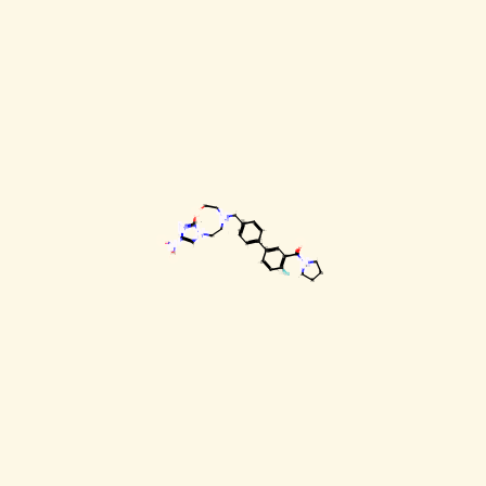 O=C(c1cc(-c2ccc(CN3CCOc4nc([N+](=O)[O-])cn4CC3)cc2)ccc1F)N1CCCC1